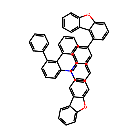 c1ccc(-c2ccccc2-c2c(-c3ccccc3)cccc2N(c2ccc(-c3cccc4oc5ccccc5c34)cc2)c2ccc3oc4ccccc4c3c2)cc1